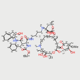 CC[C@H]1OC(=O)[C@H](C)[C@@H](O[C@H]2C[C@@](C)(OC)[C@@H](O)[C@H](C)O2)[C@H](C)[C@@H](O[C@@H]2O[C@H](C)CC(N(C)CCCCNC(=O)C(NC(=O)OC(C)(C)C)C(Cc3ccccc3)C(=O)N[C@H]3c4ccccc4C[C@H]3O)[C@H]2O)[C@](C)(O)C[C@@H](C)CN(C)[C@H](C)[C@@H](O)[C@]1(C)O